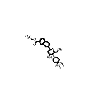 CCOC(=O)c1ccc2ccc(-c3cc(N)c(N4CCC(C)(N)CC4)c(CO)n3)cc2c1